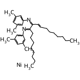 CCCCCCCC=CC(=Nc1cc(C)cc(C)c1)C(CCCCCCCC)=Nc1cc(C)cc(C)c1.[Ni]